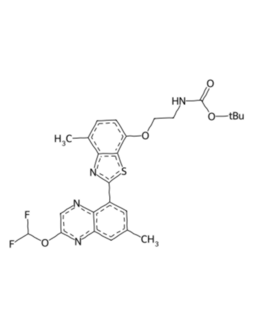 Cc1cc(-c2nc3c(C)ccc(OCCNC(=O)OC(C)(C)C)c3s2)c2ncc(OC(F)F)nc2c1